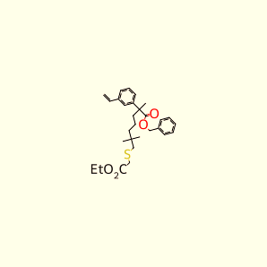 C=Cc1cccc(C(C)(CCCC(C)(C)CSCC(=O)OCC)C(=O)OCc2ccccc2)c1